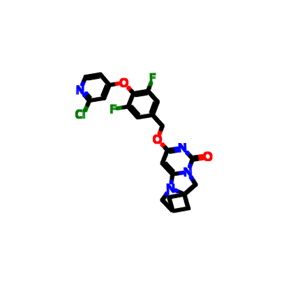 O=c1nc(OCc2cc(F)c(Oc3ccnc(Cl)c3)c(F)c2)cc2n1CC13CC(CN21)C3